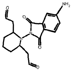 Nc1ccc2c(c1)C(=O)N(N1C(CC=O)CCCC1CC=O)C2=O